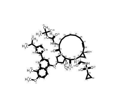 COc1ccc2c(O[C@H]3CN4C(=O)[C@@H](NC(=O)OC(C)(C)C)CCCCC/C=C\[C@@H]5C[C@@]5(C(=O)NS(=O)(=O)C5CC5)NC(=O)[C@@H]4[C@@H]3C)cc(-c3nc(C(C)C)cs3)nc2c1C